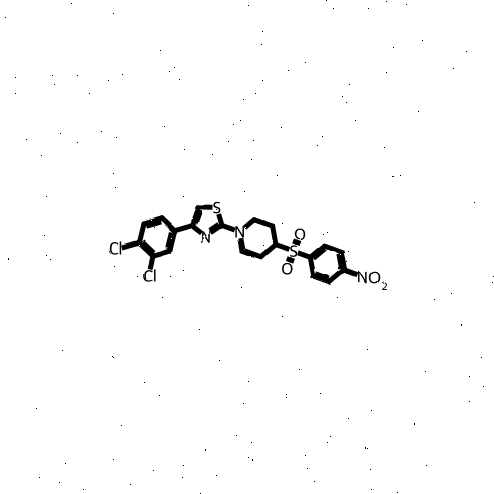 O=[N+]([O-])c1ccc(S(=O)(=O)C2CCN(c3nc(-c4ccc(Cl)c(Cl)c4)cs3)CC2)cc1